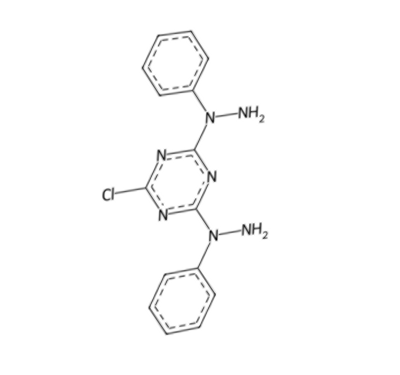 NN(c1ccccc1)c1nc(Cl)nc(N(N)c2ccccc2)n1